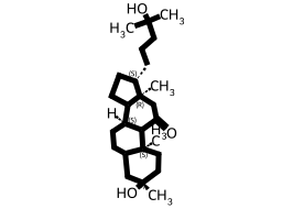 CC(C)(O)CCC[C@H]1CCC2[C@@H]3CCC4C[C@@](C)(O)CC[C@]4(C)C3C(=O)C[C@@]21C